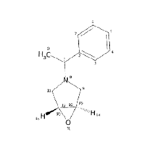 CC(c1ccccc1)N1C[C@H]2O[C@@H]2C1